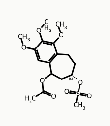 COc1cc2c(c(OC)c1OC)CC[C@H](OS(C)(=O)=O)CC2OC(C)=O